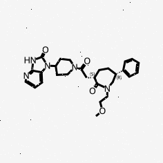 COCCN1C[C@@H](c2ccccc2)CC[C@@H](CC(=O)N2CCC(n3c(=O)[nH]c4ncccc43)CC2)C1=O